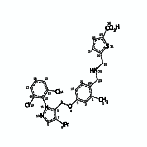 Cc1cc(OCc2c(C(C)C)cnn2-c2c(Cl)cccc2Cl)ccc1CNCc1ccc(C(=O)O)s1